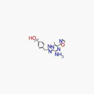 Cc1c(-c2ncco2)nc(N)c2nc(Cc3ccc(C(C)(C)O)cc3)nn12